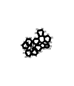 c1ccc(N(c2ccccc2)c2ccc3c(c2)C2(c4ccccc4-c4ccccc4-3)c3ccccc3-c3ccc(N(c4ccccc4)c4ccccc4)cc32)cc1